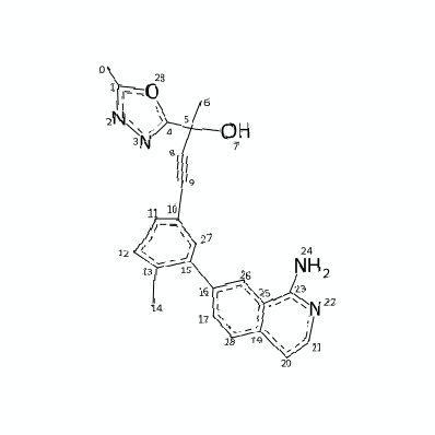 Cc1nnc(C(C)(O)C#Cc2ccc(C)c(-c3ccc4ccnc(N)c4c3)c2)o1